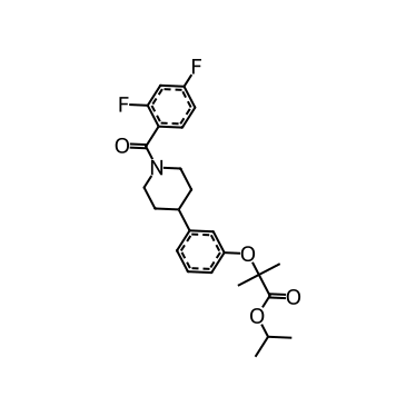 CC(C)OC(=O)C(C)(C)Oc1cccc(C2CCN(C(=O)c3ccc(F)cc3F)CC2)c1